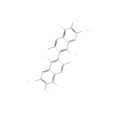 COc1cc2c(OC)c(-c3c(C)cc4c(C=O)c(OC)c(OC)cc4c3OC)c(C)cc2c(C=O)c1OC